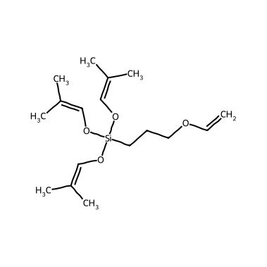 C=COCCC[Si](OC=C(C)C)(OC=C(C)C)OC=C(C)C